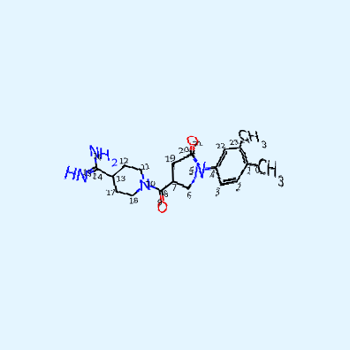 Cc1ccc(N2CC(C(=O)N3CCC(C(=N)N)CC3)CC2=O)cc1C